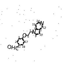 O=Cc1ccc(OCCn2ccc3cnccc32)cc1